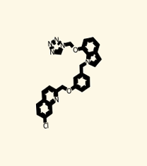 Clc1ccc2ccc(COc3cccc(Cn4ccc5cccc(OCn6cnnn6)c54)c3)nc2c1